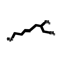 [CH2]CC/C=C/CC(C)CC